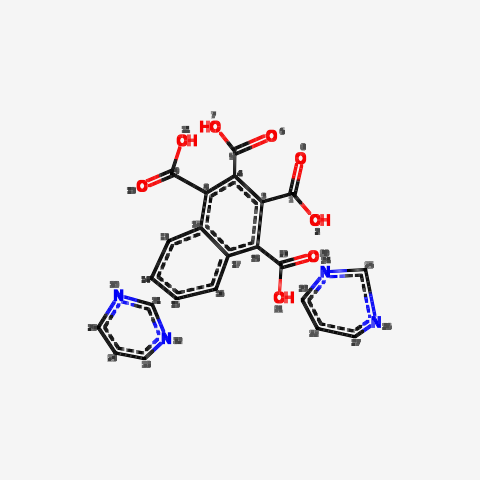 O=C(O)c1c(C(=O)O)c(C(=O)O)c2ccccc2c1C(=O)O.c1cncnc1.c1cncnc1